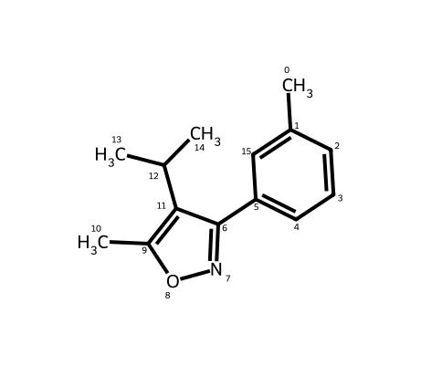 Cc1cccc(-c2noc(C)c2C(C)C)c1